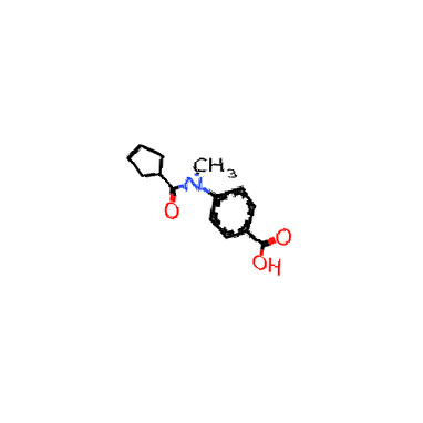 CN(C(=O)C1CCCC1)c1ccc(C(=O)O)cc1